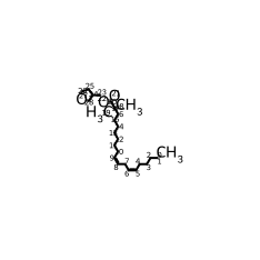 CCCCC/C=C\C/C=C\CCCCCCCC(C)(C)C(=O)OCC1CCOC1